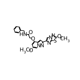 COc1cc(OCC(=O)NCc2ccccc2)c2cc(-c3cn4nc(OC)sc4n3)nn2c1